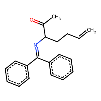 C=CCCC(N=C(c1ccccc1)c1ccccc1)C(C)=O